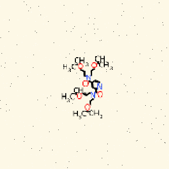 CC(C)OCCCN(CCCOC(C)C)C(=O)c1ccnc(C(=O)N(CCCOC(C)C)CCCOC(C)C)c1